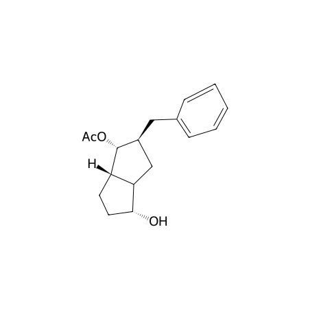 CC(=O)O[C@@H]1[C@@H](Cc2ccccc2)CC2[C@H](O)CC[C@@H]21